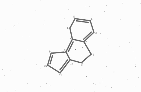 [C]1CC2=CC=CCC2=C2C=CC=C12